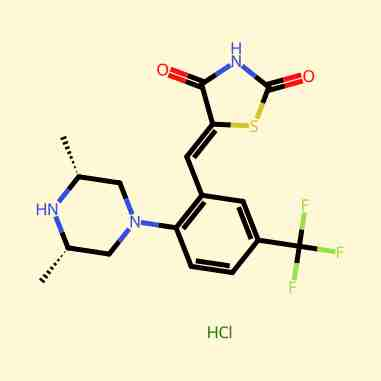 C[C@@H]1CN(c2ccc(C(F)(F)F)cc2/C=C2\SC(=O)NC2=O)C[C@H](C)N1.Cl